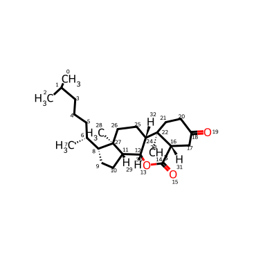 CC(C)CCC[C@@H](C)[C@H]1CC[C@H]2[C@H]3OC(=O)[C@H]4CC(=O)CC[C@]4(C)[C@H]3CC[C@]12C